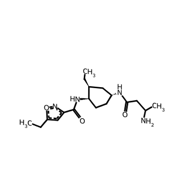 CCc1cc(C(=O)N[C@@H]2CC[C@@H](NC(=O)CC(C)N)C[C@@H]2CC)no1